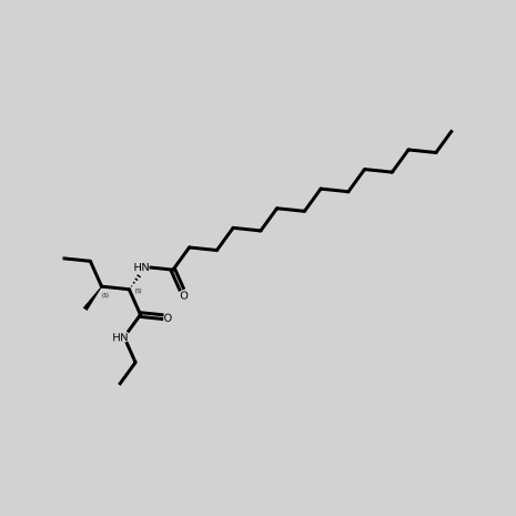 CCCCCCCCCCCCCC(=O)N[C@H](C(=O)NCC)[C@@H](C)CC